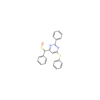 O=S=C(c1ccccc1)c1cc(Sc2ccccc2)nc(-c2ccccc2)n1